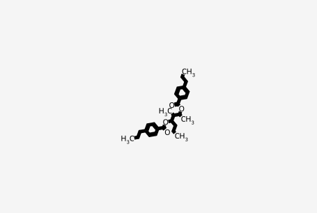 CCCc1ccc(C(=O)OC(C)C(C)C(CCC)OC(=O)c2ccc(CCC)cc2)cc1